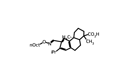 CCCCCCCCO/N=C/c1cc2c(cc1C(C)C)CCC1C(C)(C(=O)O)CCC[C@]21C